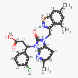 Cc1cc(C)c2c(Cn3c(=O)n(C(CC(=O)O)c4cccc(Cl)c4)c4nc(C)ccc43)nsc2c1